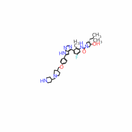 Cc1c(NC(=O)N2C[C@H](CC(C)C)[C@@H](O)C2)cc(F)cc1-c1ncnc2[nH]c(-c3ccc(OCC4CCN(CC5CCNCC5)CC4)cc3)cc12